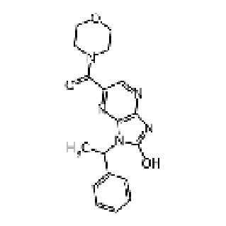 CC(c1ccccc1)n1c(O)nc2ncc(C(=O)N3CCOCC3)nc21